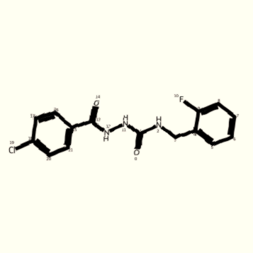 O=C(NCc1ccccc1F)NNC(=O)c1ccc(Cl)cc1